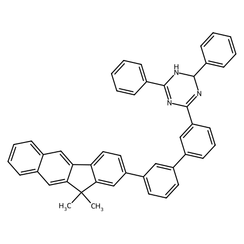 CC1(C)c2cc(-c3cccc(-c4cccc(C5=NC(c6ccccc6)NC(c6ccccc6)=N5)c4)c3)ccc2-c2cc3ccccc3cc21